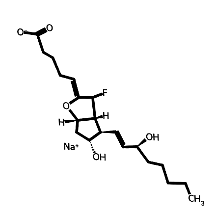 CCCCC[C@H](O)/C=C/[C@@H]1[C@H]2C(F)/C(=C/CCCC(=O)[O-])O[C@H]2C[C@H]1O.[Na+]